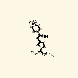 C/N=C(/C)N1CCC(CC(=N)N2CCS(=O)(=O)CC2)C1